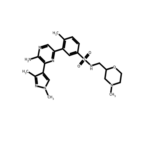 Cc1ccc(S(=O)(=O)NCC2CN(C)CCO2)cc1-c1cnc(N)c(-c2cn(C)nc2C)n1